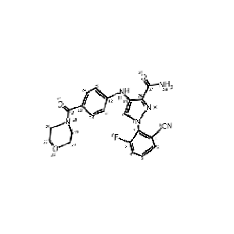 N#Cc1cccc(F)c1-n1cc(Nc2ccc(C(=O)N3CCOCC3)cc2)c(C(N)=O)n1